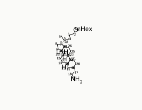 CCCCCCOCCCC(C)[C@H]1CC[C@H]2[C@@H]3CC[C@H]4C[C@@H](CCN)CC[C@]4(C)[C@H]3CC[C@]12C